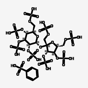 O=S(=O)(O)OC[C@H]1O[C@@](COS(=O)(=O)O)(O[C@H]2O[C@H](COS(=O)(=O)O)[C@@H](OS(=O)(=O)O)[C@H](OS(=O)(=O)O)[C@H]2OS(=O)(=O)O)[C@@H](OS(=O)(=O)O)[C@@H]1OS(=O)(=O)O.O=S(=O)(O)c1ccccc1